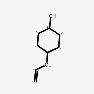 C=COC1CCC(O)CC1